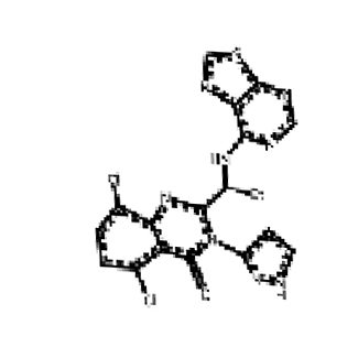 CC[C@H](Nc1ncnc2scnc12)c1nc2c(Cl)ccc(Cl)c2c(=O)n1-c1cc[nH]n1